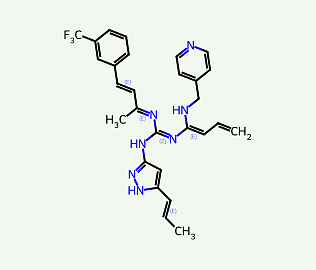 C=C/C=C(/N=C(\N=C(C)\C=C\c1cccc(C(F)(F)F)c1)Nc1cc(/C=C/C)[nH]n1)NCc1ccncc1